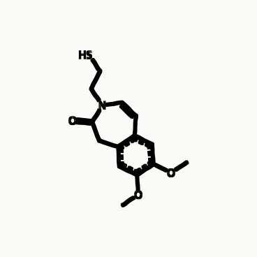 COc1cc2c(cc1OC)CC(=O)N(CCS)C=C2